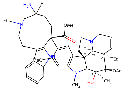 CCN1CCc2c([nH]c3ccccc23)[C@@](C(=O)OC)(c2cc3c(cc2OC)N(C)C2[C@](C)(O)[C@H](OC(C)=O)[C@]4(CC)C=CCN5CC[C@]32[C@@H]54)CCC(N)(CC)C1